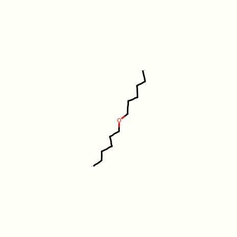 [CH2]CCCCCOCCCCC[CH2]